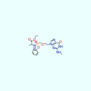 CCOC(=O)C(C)NP(=O)(COCCn1cnc2c(=O)[nH]c(N)nc21)Oc1ccccc1